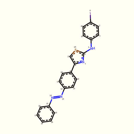 Ic1ccc(Nc2nc(-c3ccc(N=Nc4ccccc4)cc3)cs2)cc1